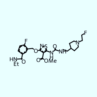 CCNC(=O)c1ccc(F)c(COc2nsc(NC(=O)NCCC3CCN(CCF)CC3)c2C(=O)OC)c1